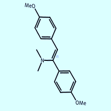 COc1ccc(/C=C(/c2ccc(OC)cc2)N(C)C)cc1